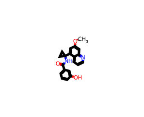 COc1cc(C2(NC(=O)c3cccc(O)c3)CC2)c2cccnc2c1